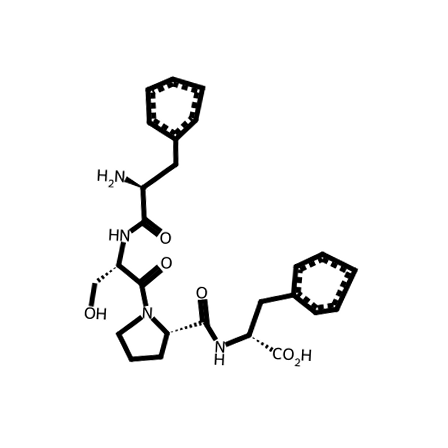 N[C@@H](Cc1ccccc1)C(=O)N[C@@H](CO)C(=O)N1CCC[C@H]1C(=O)N[C@H](Cc1ccccc1)C(=O)O